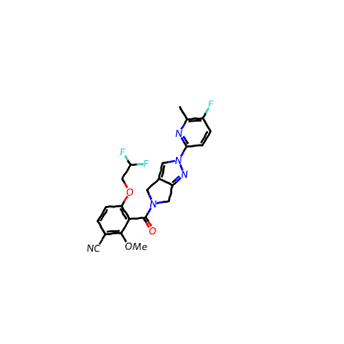 COc1c(C#N)ccc(OCC(F)F)c1C(=O)N1Cc2cn(-c3ccc(F)c(C)n3)nc2C1